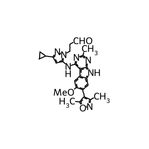 COc1cc2c(cc1-c1c(C)noc1C)[nH]c1nc(C)nc(Nc3cc(C4CC4)nn3CCC=O)c12